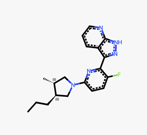 CCC[C@@H]1CN(c2ccc(F)c(-c3n[nH]c4ncccc34)n2)C[C@H]1C